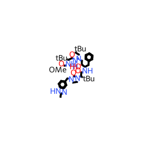 COC(=O)NC(C(=O)NN(CCC(C)(C)C)CC(O)C(Cc1ccccc1)NC(=O)C(N1CCN(Cc2ccc3[nH]c(C)nc3c2)C1=O)C(C)(C)C)C(C)(C)C